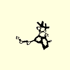 CCOCOc1cc(B2OC(C)(C)C(C)(C)O2)c2c(CC)c(F)ccc2c1